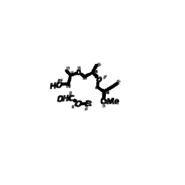 CCOC=O.COC(C)COC(C)COC(C)CO